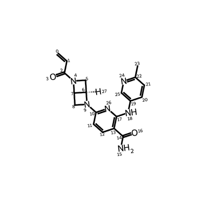 C=CC(=O)N1C[C@@H]2C1CN2c1ccc(C(N)=O)c(Nc2ccc(C)nc2)n1